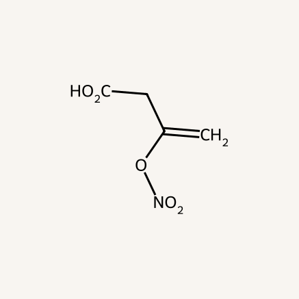 C=C(CC(=O)O)O[N+](=O)[O-]